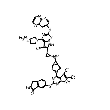 CCc1[nH]c2nc(Sc3ccc4c(c3)C(=O)NC4)nc(N3CC4C(C3)C4NC3CC3c3[nH]c4nc(Sc5cnc6nccnc6c5)nc(N5CC[C@H](N)C5)c4c3Cl)c2c1Cl